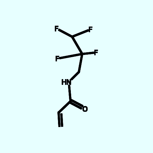 C=CC(=O)NCC(F)(F)C(F)F